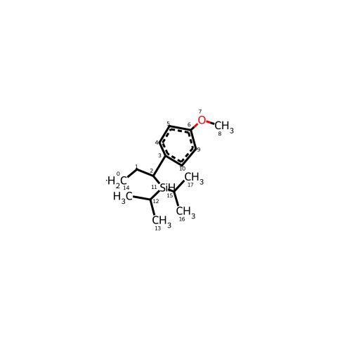 [CH2]CC(c1ccc(OC)cc1)[SiH](C(C)C)C(C)C